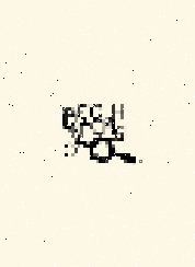 [C]#Cc1ccc(C(=O)N(CC(C)C)C(C)C(=O)O)cc1Cl